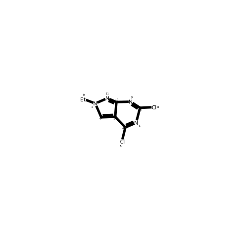 CCn1cc2c(Cl)nc(Cl)nc2n1